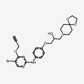 C#CCOc1nc(Nc2ccc(OCC(O)CN3CCC4(CC3)OCCO4)cc2)ncc1Br